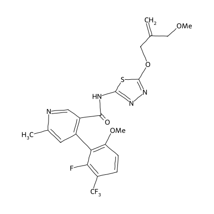 C=C(COC)COc1nnc(NC(=O)c2cnc(C)cc2-c2c(OC)ccc(C(F)(F)F)c2F)s1